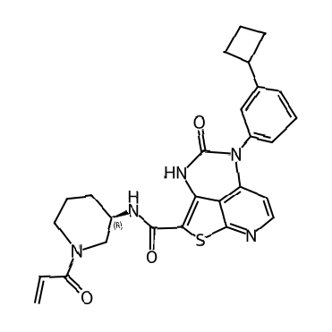 C=CC(=O)N1CCC[C@@H](NC(=O)c2sc3nccc4c3c2NC(=O)N4c2cccc(C3CCC3)c2)C1